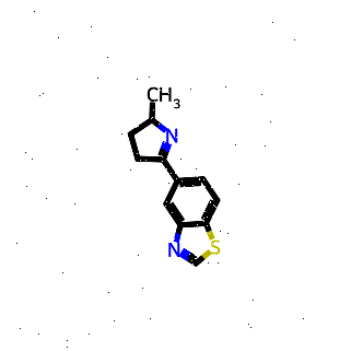 CC1CCC(c2ccc3scnc3c2)=N1